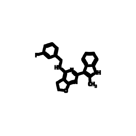 Cc1[nH]c2ccccc2c1-c1nc(NCc2cccc(F)c2)c2c(n1)OCC2